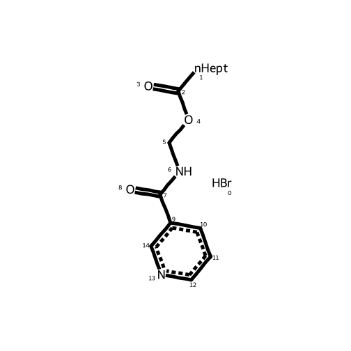 Br.CCCCCCCC(=O)OCNC(=O)c1cccnc1